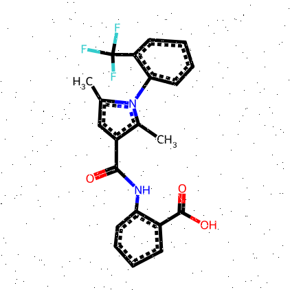 Cc1cc(C(=O)Nc2ccccc2C(=O)O)c(C)n1-c1ccccc1C(F)(F)F